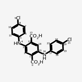 O=C(O)c1cc(Nc2ccc(Cl)cc2)c(C(=O)O)cc1Nc1ccc(Cl)cc1